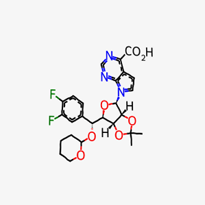 CC1(C)O[C@H]2[C@@H](O1)[C@H](n1ccc3c(C(=O)O)ncnc31)O[C@@H]2[C@H](OC1CCCCO1)c1ccc(F)c(F)c1